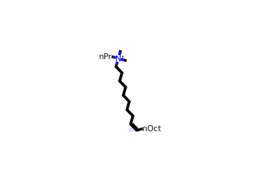 CCCCCCCC/C=C\CCCCCCCC[N+](C)(C)CCC